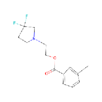 Cc1cccc(C(=O)OCCN2CCC(F)(F)C2)c1